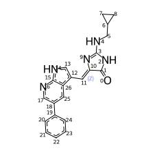 O=C1NC(NCC2CC2)=N/C1=C\c1c[nH]c2ncc(-c3ccccc3)cc12